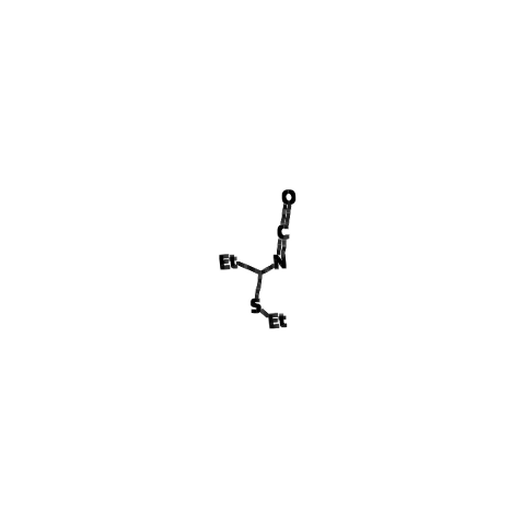 CCSC(CC)N=C=O